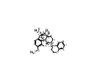 COc1ccc2c3c1O[C@H]1[C@H](N4CCOc5ccccc54)CC[C@H]4[C@@H](C2)N(C)CC[C@@]341